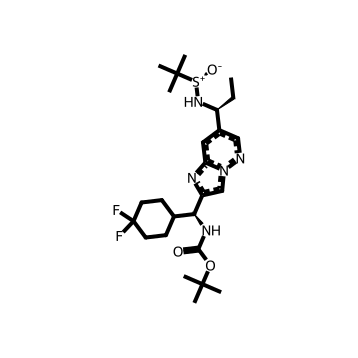 CC[C@H](N[S@@+]([O-])C(C)(C)C)c1cnn2cc([C@@H](NC(=O)OC(C)(C)C)C3CCC(F)(F)CC3)nc2c1